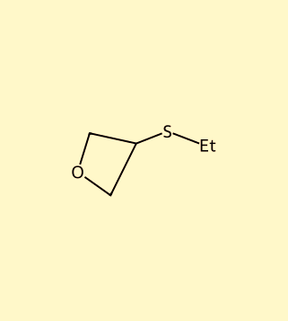 CCSC1COC1